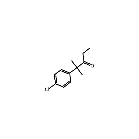 CCC(=O)C(C)(C)c1ccc(Cl)cc1